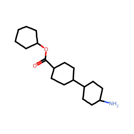 NC1CCC(C2CCC(C(=O)OC3CCCCC3)CC2)CC1